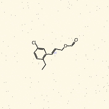 CCc1ccc(Cl)cc1/C=C/COC=O